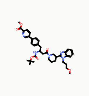 COCCCn1c(C2CCCN(C(=O)CC(Cc3ccc(-c4ccc(C(=O)OC)nc4)cc3)NC(=O)OC(C)(C)C)C2)nc2ccccc21